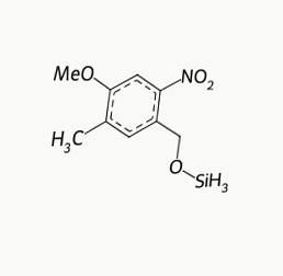 COc1cc([N+](=O)[O-])c(CO[SiH3])cc1C